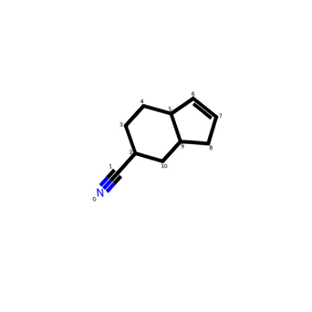 N#CC1CCC2C=CCC2C1